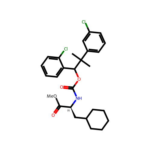 COC(=O)[C@H](CC1CCCCC1)NC(=O)OC(c1ccccc1Cl)C(C)(C)c1cccc(Cl)c1